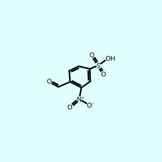 O=Cc1ccc(S(=O)(=O)O)cc1[N+](=O)[O-]